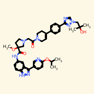 COC1(C(=O)Nc2ccc3[nH]nc(-c4ccc(OC(C)C)nc4)c3c2)CCN(CC(=O)N2CC=C(c3ccc(-c4ncn(CC(C)(C)O)n4)cc3)CC2)C1